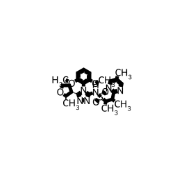 COc1cccc(OC)c1-n1c(NS(=O)(=O)C(C)C(C)c2ncc(C)cn2)nnc1[C@H]1CCO[C@H]1C